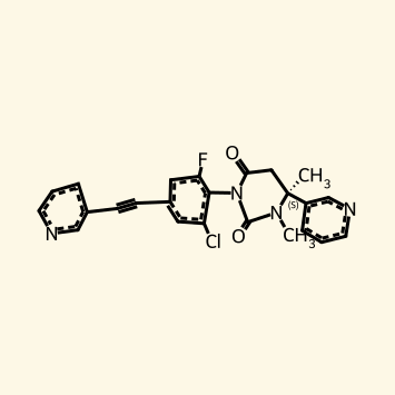 CN1C(=O)N(c2c(F)cc(C#Cc3cccnc3)cc2Cl)C(=O)C[C@@]1(C)c1cccnc1